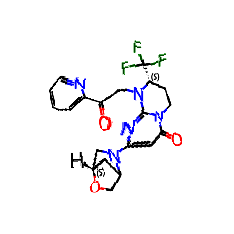 O=C(CN1c2nc(N3C[C@@H]4CC3CO4)cc(=O)n2CC[C@H]1C(F)(F)F)c1ccccn1